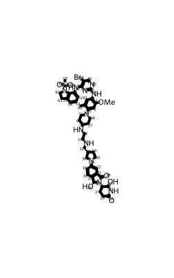 COc1cc(N2CCC(NCCNC[C@H]3CCN(c4ccc5c(c4)C(=O)N(C4CCC(=O)NC4O)C5O)C3)CC2)c(C)cc1Nc1ncc(Br)c(Nc2cccc3c2N(S(C)(=O)=O)CC3)n1